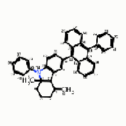 CC1CCCC2(C)C1c1cc(-c3c4ccccc4c(-c4ccccc4)c4ccccc34)ccc1N2c1ccccc1